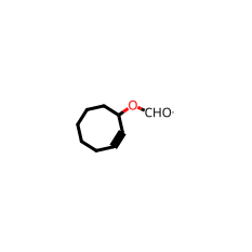 O=[C]OC1C#CCCCCC1